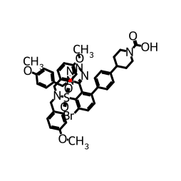 COc1ccc(CN(Cc2ccc(OC)cc2)S(=O)(=O)c2c(Br)ccc(-c3ccc(C4CCN(C(=O)O)CC4)cc3)c2-c2nnnn2Cc2ccc(OC)cc2)cc1